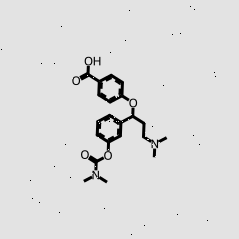 CN(C)CCC(Oc1ccc(C(=O)O)cc1)c1cccc(OC(=O)N(C)C)c1